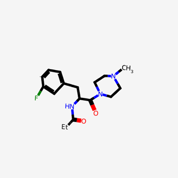 CCC(=O)NC(Cc1cc[c]c(F)c1)C(=O)N1CCN(C)CC1